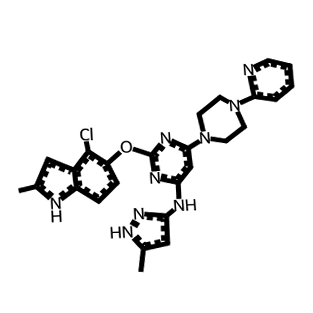 Cc1cc(Nc2cc(N3CCN(c4ccccn4)CC3)nc(Oc3ccc4[nH]c(C)cc4c3Cl)n2)n[nH]1